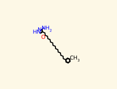 Cc1cccc(CCCCCCCCCCCCCCC(=O)Cc2c[nH]nc2N)c1